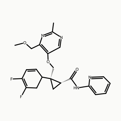 COCc1nc(C)ncc1OC[C@@]1(C2C=CC(F)=C(F)C2)C[C@H]1C(=O)Nc1ccccn1